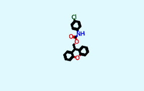 O=C(Nc1ccc(Cl)cc1)OCC1c2ccccc2Oc2ccccc21